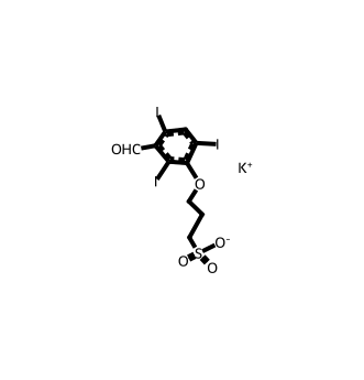 O=Cc1c(I)cc(I)c(OCCCS(=O)(=O)[O-])c1I.[K+]